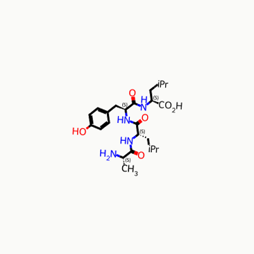 CC(C)C[C@H](NC(=O)[C@H](Cc1ccc(O)cc1)NC(=O)[C@H](CC(C)C)NC(=O)[C@H](C)N)C(=O)O